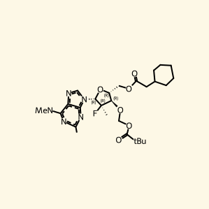 CNc1nc(C)nc2c1ncn2[C@@H]1O[C@H](COC(=O)CC2CCCCC2)[C@@H](OCOC(=O)C(C)(C)C)[C@@]1(C)F